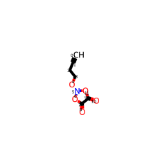 C#CCCOn1oc(=O)c(=O)o1